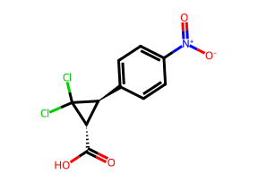 O=C(O)[C@H]1[C@H](c2ccc([N+](=O)[O-])cc2)C1(Cl)Cl